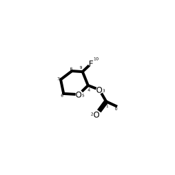 CC(=O)OC1OCCCC1F